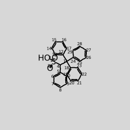 O=S(=O)(O)C(c1ccccc1)C(c1ccccc1)(c1ccccc1)c1ccccc1